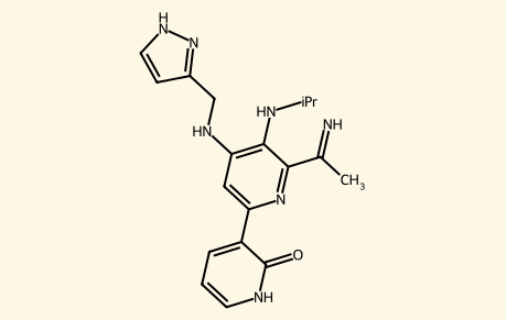 CC(=N)c1nc(-c2ccc[nH]c2=O)cc(NCc2cc[nH]n2)c1NC(C)C